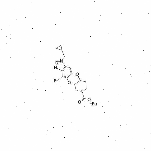 CC(C)(C)OC(=O)N1CC[C@H](O)[C@@H](Oc2ccc3c(nnn3CC3CC3)c2Br)C1